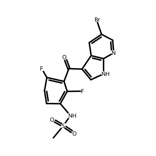 CS(=O)(=O)Nc1ccc(F)c(C(=O)c2c[nH]c3ncc(Br)cc23)c1F